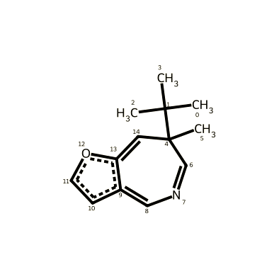 CC(C)(C)C1(C)C=NC=c2ccoc2=C1